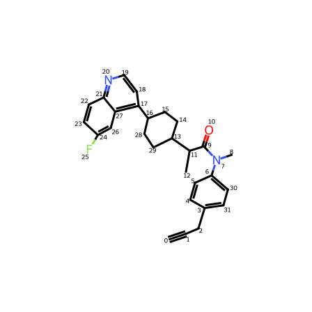 C#CCc1ccc(N(C)C(=O)C(C)C2CCC(c3ccnc4ccc(F)cc34)CC2)cc1